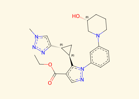 CCOC(=O)c1cnn(-c2cccc(N3CCC[C@@H](O)C3)c2)c1[C@@H]1C[C@H]1c1cn(C)nn1